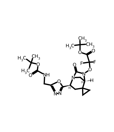 CC(C)(C)OC(=O)NCc1nnc([C@@H]2CC3(CC3)[C@H]3CN2C(=O)N3OC(F)(F)C(=O)OC(C)(C)C)o1